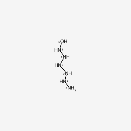 NNNNNNO